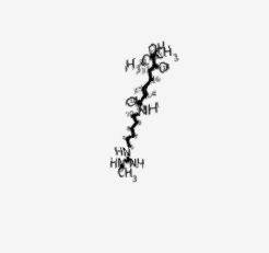 CNC(=N)NCCCCCCNC(=O)CCCCC(=O)C(C)(C)O